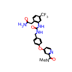 CNC(=O)c1cc(Oc2ccc(CNC(=O)Nc3cc(C(F)(F)F)ccc3CC(N)=O)cc2)ccn1